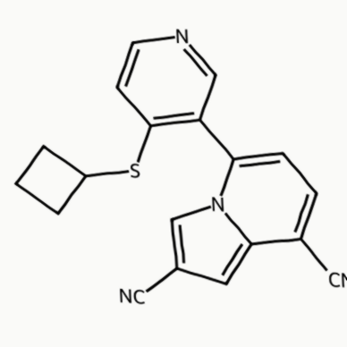 N#Cc1cc2c(C#N)ccc(-c3cnccc3SC3CCC3)n2c1